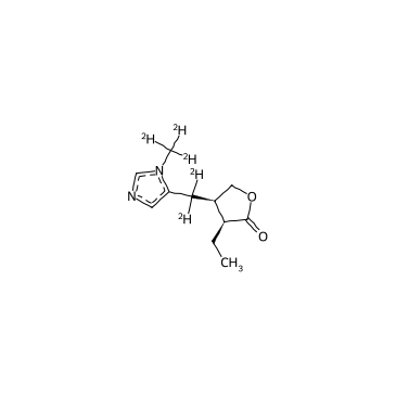 [2H]C([2H])(c1cncn1C([2H])([2H])[2H])[C@H]1COC(=O)[C@H]1CC